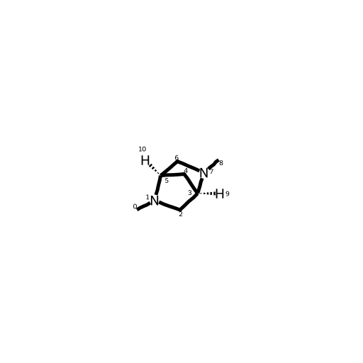 CN1C[C@H]2C[C@@H]1CN2C